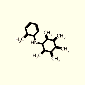 C=C1C(=C)C(=C)C(NC2C=CC=CC2=C)C(=C)C1=C